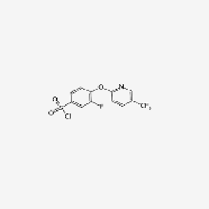 O=S(=O)(Cl)c1ccc(Oc2ccc(C(F)(F)F)cn2)c(F)c1